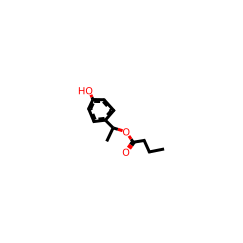 CCCC(=O)OC(C)c1ccc(O)cc1